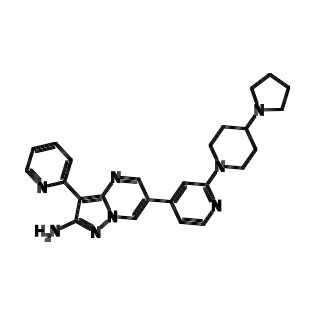 Nc1nn2cc(-c3ccnc(N4CCC(N5CCCC5)CC4)c3)cnc2c1-c1ccccn1